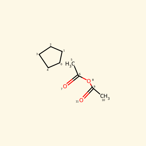 C1CCCC1.CC(=O)OC(C)=O